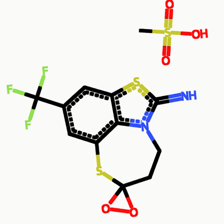 CS(=O)(=O)O.N=c1sc2cc(C(F)(F)F)cc3c2n1CCC1(OO1)S3